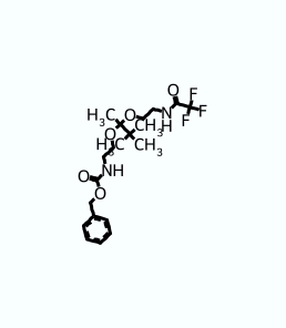 CC(C)(C)C(C)(OCCNC(=O)OCc1ccccc1)OCCNC(=O)C(F)(F)F